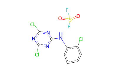 Clc1nc(Cl)nc(Nc2ccccc2Cl)n1.O=S(=O)(F)F